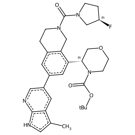 Cc1c[nH]c2ncc(-c3cc4c(c([C@@H]5COCCN5C(=O)OC(C)(C)C)c3)CN(C(=O)N3CC[C@@H](F)C3)CC4)cc12